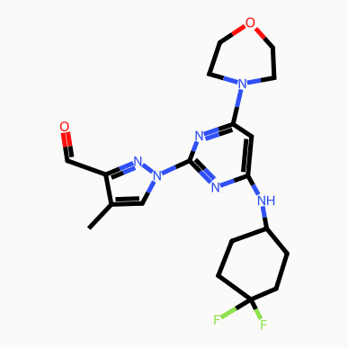 Cc1cn(-c2nc(NC3CCC(F)(F)CC3)cc(N3CCOCC3)n2)nc1C=O